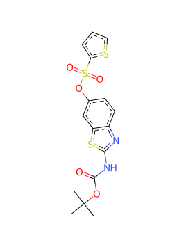 CC(C)(C)OC(=O)Nc1nc2ccc(OS(=O)(=O)c3cccs3)cc2s1